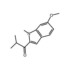 COc1ccc2cc(C(=O)C(C)C)n(C)c2c1